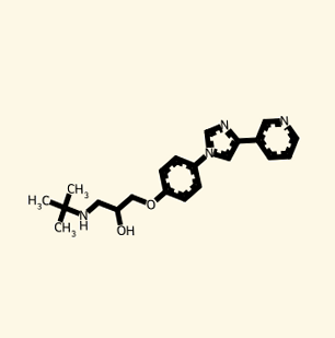 CC(C)(C)NCC(O)COc1ccc(-n2cnc(-c3cccnc3)c2)cc1